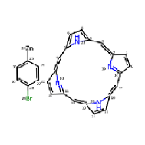 C1=Cc2cc3ccc(cc4nc(cc5ccc(cc1n2)[nH]5)C=C4)[nH]3.[Zn][c]1ccc(Br)cc1